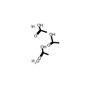 CC(=O)O.CC(=O)O.CC(=O)O.O.[In]